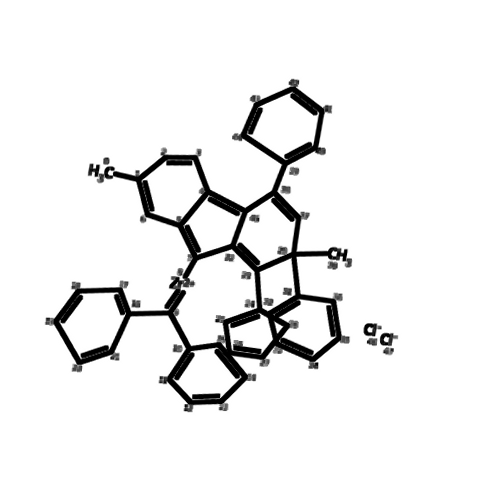 Cc1ccc2c(c1)=[C]([Zr+2]=[C](c1ccccc1)c1ccccc1)C1=C(C3=CC=CC3)C(C)(c3ccccc3)C=C(c3ccccc3)C=21.[Cl-].[Cl-]